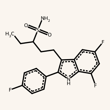 CCC(CCc1c(-c2ccc(F)cc2)[nH]c2c(F)cc(F)cc12)S(N)(=O)=O